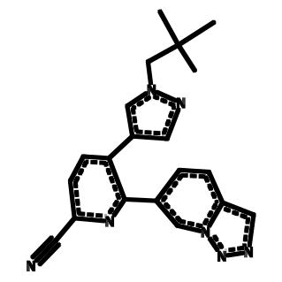 CC(C)(C)Cn1cc(-c2ccc(C#N)nc2-c2ccc3cnnn3c2)cn1